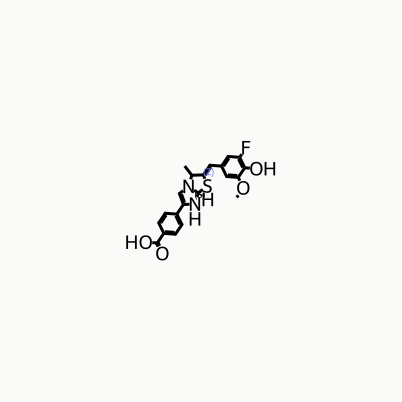 COc1cc(/C=C2\S[C@H]3NC(c4ccc(C(=O)O)cc4)=CN3C2C)cc(F)c1O